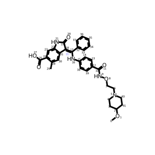 COC1CCN(CCONC(=O)c2ccc(N/C(=C3/C(=O)Nc4cc(C(=O)O)c(C)cc43)c3ccccc3)cc2)CC1